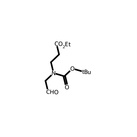 CCOC(=O)CCN(CC=O)C(=O)OC(C)(C)C